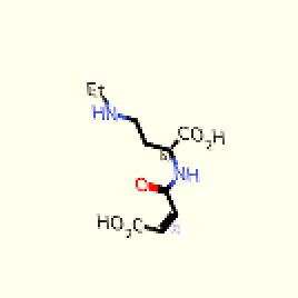 CCNCC[C@H](NC(=O)/C=C\C(=O)O)C(=O)O